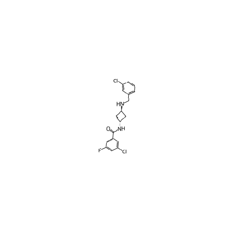 O=C(N[C@H]1C[C@H](NCc2cccc(Cl)c2)C1)c1cc(F)cc(Cl)c1